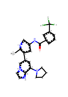 Cc1ncc(NC(=O)c2cccc(C(F)(F)F)c2)cc1-c1cc(N2CCCC2)c2nccn2c1